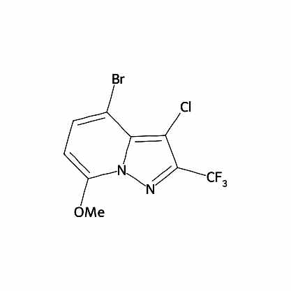 COc1ccc(Br)c2c(Cl)c(C(F)(F)F)nn12